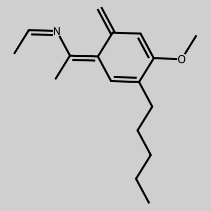 C=c1cc(OC)c(CCCCC)c/c1=C(C)/N=C\C